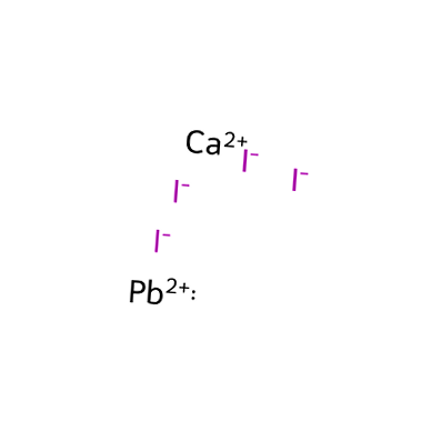 [Ca+2].[I-].[I-].[I-].[I-].[Pb+2]